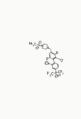 CS(=O)(=O)N1CCN(Cc2cc(F)c(-c3ccc(C(O)(C(F)(F)F)C(F)(F)F)cc3Cl)c(C3CC3)c2F)CC1